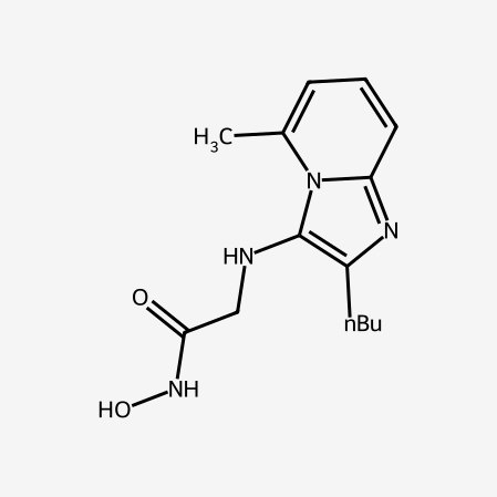 CCCCc1nc2cccc(C)n2c1NCC(=O)NO